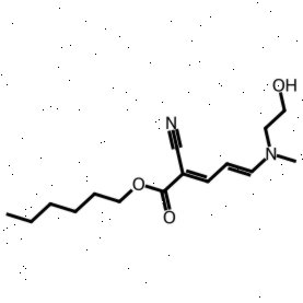 CCCCCCOC(=O)/C(C#N)=C/C=C/N(C)CCO